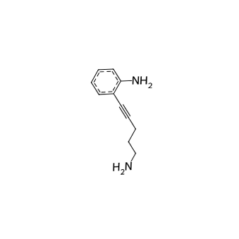 NCCCC#Cc1ccccc1N